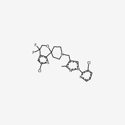 Cc1nn(-c2ncccc2Cl)cc1CN1CCC2(CC1)OCC(F)(F)c1cc(Cl)sc12